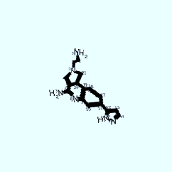 NCCn1cc2c(N)nc3cc(-c4ccn[nH]4)ccc3c2c1